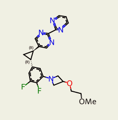 COCCOC1CN(c2cc([C@@H]3C[C@H]3c3cnc(-c4ncccn4)nc3)cc(F)c2F)C1